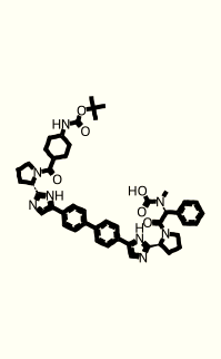 CN(C(=O)O)[C@@H](C(=O)N1CCC[C@H]1c1ncc(-c2ccc(-c3ccc(-c4cnc([C@@H]5CCCN5C(=O)C5CCC(NC(=O)OC(C)(C)C)CC5)[nH]4)cc3)cc2)[nH]1)c1ccccc1